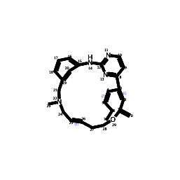 C=C1/C=C(\C=C/CC)c2ccnc(n2)Nc2cccc(c2)CN(C)C/C=C/CCO1